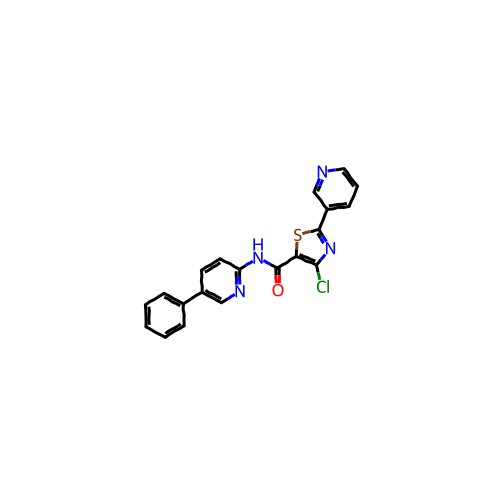 O=C(Nc1ccc(-c2ccccc2)cn1)c1sc(-c2cccnc2)nc1Cl